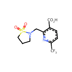 O=C(O)c1ccc(C(F)(F)F)nc1CN1CCCS1(=O)=O